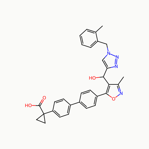 Cc1ccccc1Cn1cc(C(O)c2c(C)noc2-c2ccc(-c3ccc(C4(C(=O)O)CC4)cc3)cc2)nn1